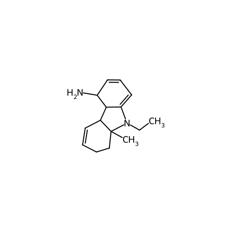 CCN1C2=CC=CC(N)C2C2C=CCCC21C